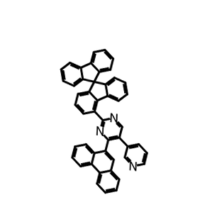 c1cncc(-c2cnc(-c3cccc4c3-c3ccccc3C43c4ccccc4-c4ccccc43)nc2-c2cc3ccccc3c3ccccc23)c1